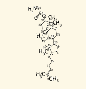 CC(C)=CCCCC1CCC2C3=C(CCC12C)C1(C)CCC(OC(=O)CN)C(C)(C)C1CC3